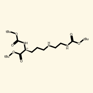 CC(C)(C)OC(=O)NCCNCCC[C@H](NC(=O)OC(C)(C)C)C(=O)OC(C)(C)C